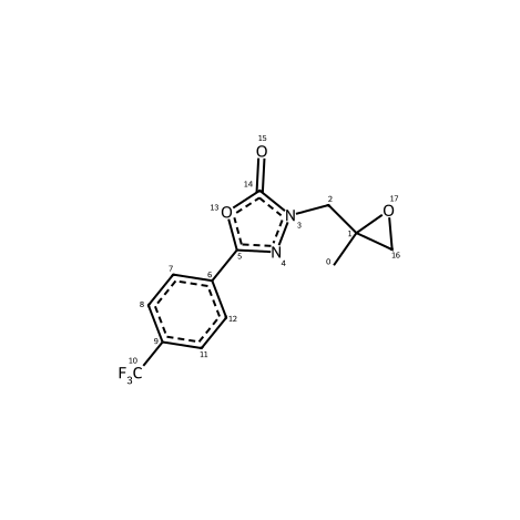 CC1(Cn2nc(-c3ccc(C(F)(F)F)cc3)oc2=O)CO1